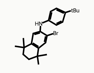 CC(C)(C)c1ccc(Nc2cc3c(cc2Br)C(C)(C)CCC3(C)C)cc1